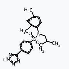 Cc1ccc(N(CC(C)C)S(=O)(=O)c2ccc(-c3nn[nH]n3)cc2)c(C)c1